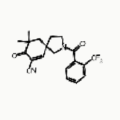 CC1(C)C[C@@]2(C=C(C#N)C1=O)CCN(C(=O)c1ccccc1C(F)(F)F)C2